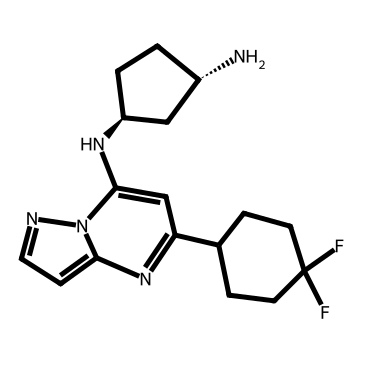 N[C@H]1CC[C@H](Nc2cc(C3CCC(F)(F)CC3)nc3ccnn23)C1